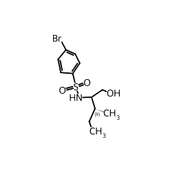 CC[C@@H](C)C(CO)NS(=O)(=O)c1ccc(Br)cc1